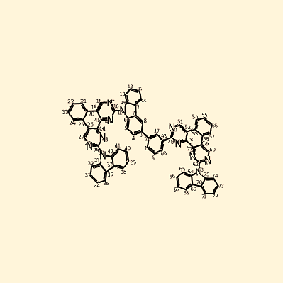 c1cc(-c2ccc3c(c2)c2ccccc2n3-c2ncc3c4ccccc4c4cnc(-n5c6ccccc6c6ccccc65)nc4c3n2)cc(-c2ncc3c4ccccc4c4cnc(-n5c6ccccc6c6ccccc65)nc4c3n2)c1